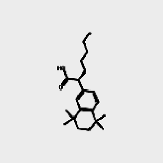 CCCCC[C@H](C(=O)O)c1ccc2c(c1)C(C)(C)CCC2(C)C